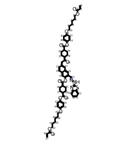 C=CC(=O)OCCCCCCOc1ccc(OC(=O)C2CCC(C(=O)Cc3ccc4cc(OC(=O)C5CCC(C(=O)Oc6ccc(OCCCCCCOC(=O)C=C)cc6)CC5)c(/C=N/Nc5nc6ccccc6s5)cc4c3)CC2)cc1